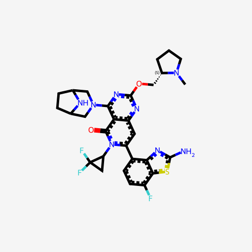 CN1CCC[C@H]1COc1nc(N2CC3CCC(C2)N3)c2c(=O)n(C3CC3(F)F)c(-c3ccc(F)c4sc(N)nc34)cc2n1